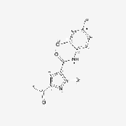 CC(=O)n1nc(Br)c(C(=O)Nc2ccc(C)cc2Cl)n1